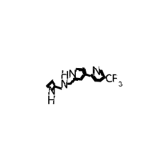 FC(F)(F)c1ccc(-c2ccnc(CNCC3CCN3)c2)nc1